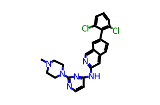 CN1CCN(c2nccc(Nc3cc4ccc(-c5c(Cl)cccc5Cl)cc4cn3)n2)CC1